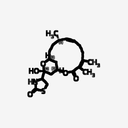 CC1=C(C)C(=O)O[C@@H]2C[C@@H](CC[C@H](C)C=CCC1)O[C@@](O)(C1CSC(=O)N1)C2